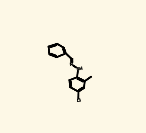 Cc1cc(Cl)ccc1NN=Cc1ccccc1